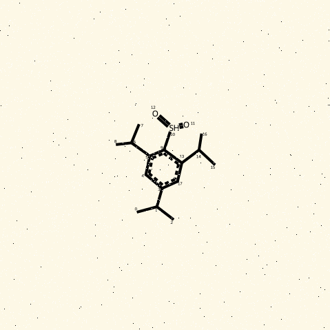 CC(C)c1cc(C(C)C)c([SH](=O)=O)c(C(C)C)c1